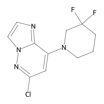 FC1(F)CCCN(c2cc(Cl)nn3ccnc23)C1